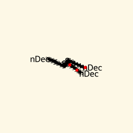 CCCCCCCCCCCCCCCCCCCCc1csc(C2=CCC(CCCCCCCCCCCCCCCCCCCC)S2)c1CCCCCCCCCCCCCCCCCCCC